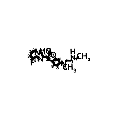 CCNCCN(C)c1ccc2c(c1)OC(O)C(c1cn3cccc(F)c3n1)=C2